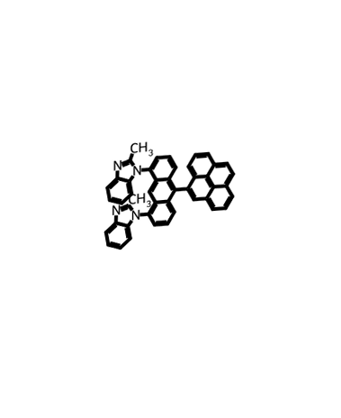 Cc1nc2ccccc2n1-c1cccc2c(-c3cc4cccc5ccc6cccc3c6c54)c3cccc(-n4c(C)nc5ccccc54)c3cc12